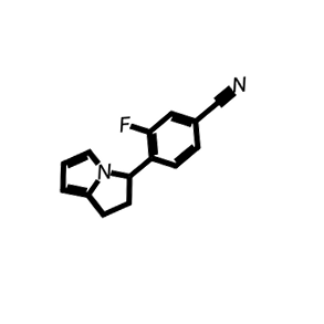 N#Cc1ccc(C2CCc3cccn32)c(F)c1